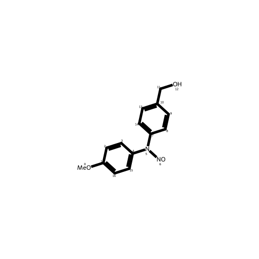 COc1ccc(N(N=O)c2ccc(CO)cc2)cc1